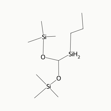 CCC[SiH2]C(O[Si](C)(C)C)O[Si](C)(C)C